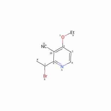 CCOc1ccnc(C(C)Br)c1C#N